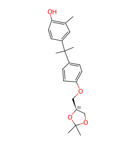 Cc1cc(C(C)(C)c2ccc(OC[C@H]3COC(C)(C)O3)cc2)ccc1O